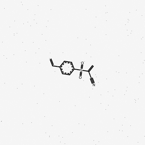 C=Cc1ccc(S(=O)(=O)C(=C)C#N)cc1